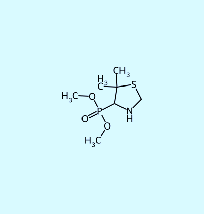 COP(=O)(OC)C1NCSC1(C)C